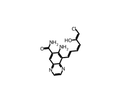 NC(=O)c1cc2nccnc2c(/C=C/C=C\C(O)=C\Cl)c1N